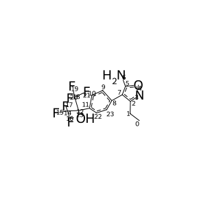 CCc1noc(N)c1-c1ccc(C(O)(C(F)(F)F)C(F)(F)F)cc1